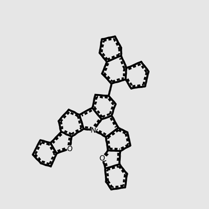 c1ccc2c(c1)cc(-c1cc3c4ccc5c6ccccc6oc5c4n4c3c(c1)c1ccc3c5ccccc5oc3c14)c1ccccc12